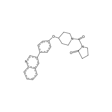 O=C1CCCN1C(=O)N1CCC(Oc2ccc(-c3cnc4ccccc4c3)cc2)CC1